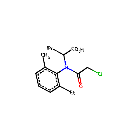 CCc1cccc(C)c1N(C(=O)CCl)C(C(=O)O)C(C)C